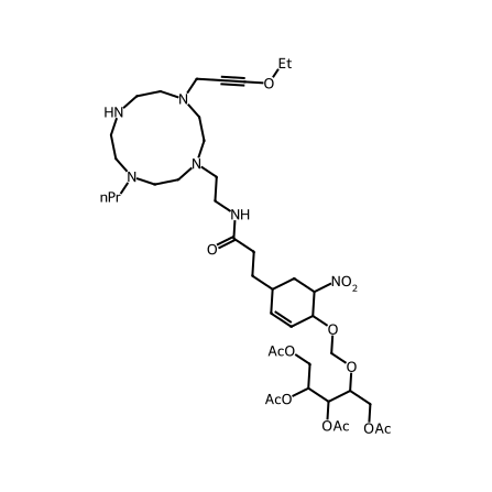 CCCN1CCNCCN(CC#COCC)CCN(CCNC(=O)CCC2C=CC(OCOC(COC(C)=O)C(OC(C)=O)C(COC(C)=O)OC(C)=O)C([N+](=O)[O-])C2)CC1